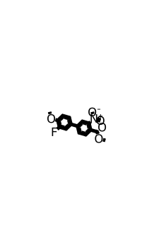 COC(=O)c1ccc(-c2ccc(OC)c(F)c2)cc1[N+](=O)[O-]